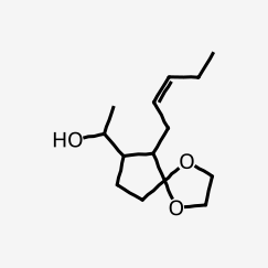 CC/C=C\CC1C(C(C)O)CCC12OCCO2